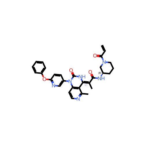 C=CC(=O)N1CCC[C@@H](NC(=O)/C(C)=C2\NC(=O)N(c3ccc(Oc4ccccc4)nc3)c3ccnc(C)c32)C1